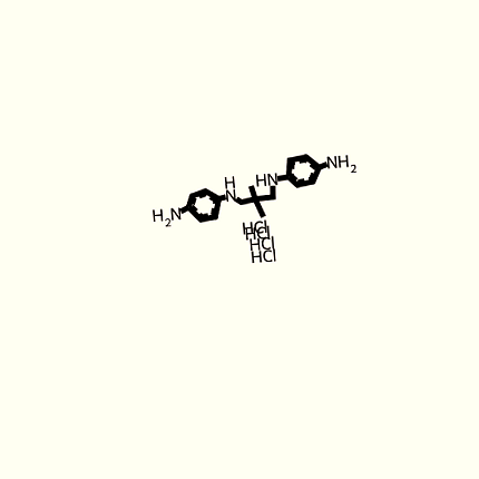 CC(C)(CNc1ccc(N)cc1)CNc1ccc(N)cc1.Cl.Cl.Cl.Cl